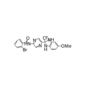 COc1ccc2c(c1)NC(c1cnc(NC(=O)c3ccccc3Br)cn1)(C(F)(F)F)N2